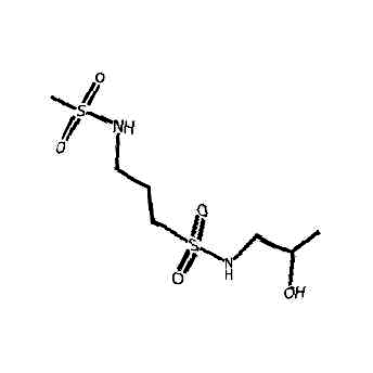 CC(O)CNS(=O)(=O)CCCNS(C)(=O)=O